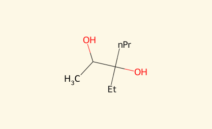 [CH2]CCC(O)(CC)C(C)O